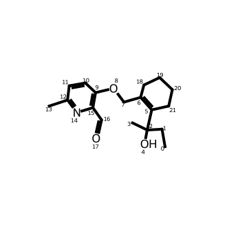 CCC(C)(O)C1=C(COc2ccc(C)nc2C=O)CCCC1